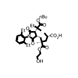 CCCCOC(=O)C(C)(CC)[C@H]1C(=O)N(c2c(CC)cccc2CC)C(=O)[C@H]1C[C@@](C)(C[C@H](C)C(=O)O)C(=O)OCCO